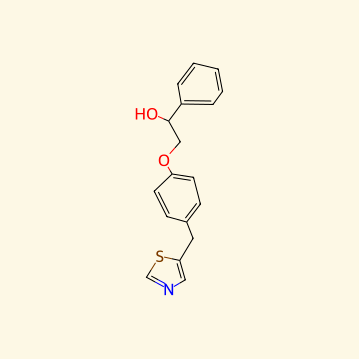 OC(COc1ccc(Cc2cncs2)cc1)c1ccccc1